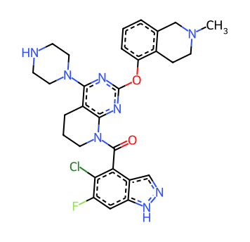 CN1CCc2c(cccc2Oc2nc(N3CCNCC3)c3c(n2)N(C(=O)c2c(Cl)c(F)cc4[nH]ncc24)CCC3)C1